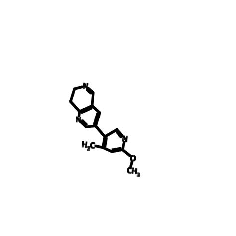 COc1cc(C)c(-c2cnc3c(c2)C=NCC3)cn1